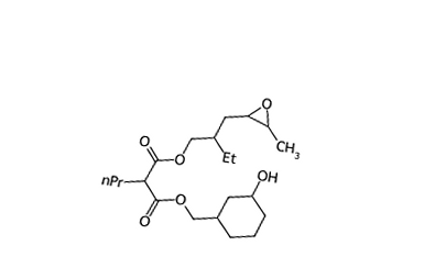 CCCC(C(=O)OCC1CCCC(O)C1)C(=O)OCC(CC)CC1OC1C